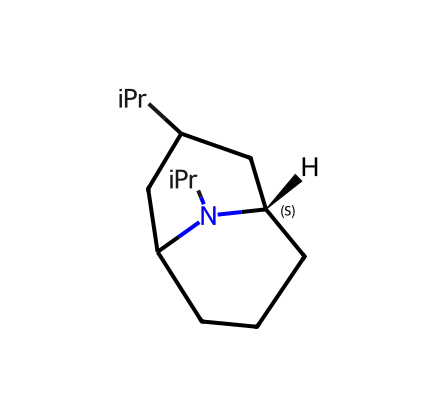 CC(C)C1CC2CCC[C@@H](C1)N2C(C)C